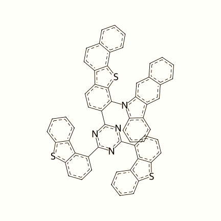 c1ccc2cc3c(cc2c1)c1ccccc1n3-c1c(-c2nc(-c3cccc4sc5ccccc5c34)nc(-c3cccc4sc5ccccc5c34)n2)ccc2c1sc1c3ccccc3ccc21